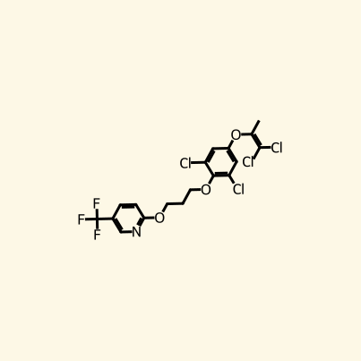 CC(Oc1cc(Cl)c(OCCCOc2ccc(C(F)(F)F)cn2)c(Cl)c1)=C(Cl)Cl